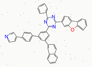 c1ccc(-c2nc(-c3cc(-c4ccc(-c5ccncc5)cc4)cc(-c4ccc5ccccc5c4)c3)nc(-c3ccc4c(c3)oc3ccccc34)n2)cc1